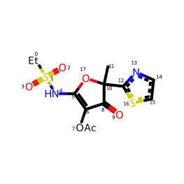 CCS(=O)(=O)NC1=C(OC(C)=O)C(=O)C(C)(c2nccs2)O1